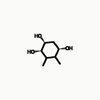 CC1C(C)[C@H](O)[C@H](O)C[C@@H]1O